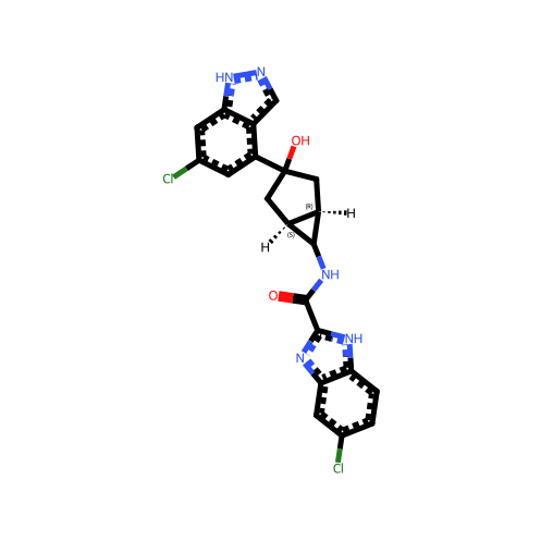 O=C(NC1[C@H]2CC(O)(c3cc(Cl)cc4[nH]ncc34)C[C@@H]12)c1nc2cc(Cl)ccc2[nH]1